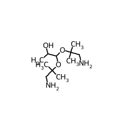 CC(O)C(OC(C)(C)CN)OC(C)(C)CN